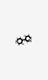 c1cncc(-c2ccncc2)c1